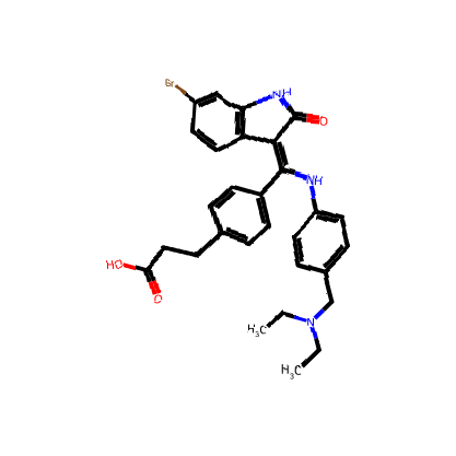 CCN(CC)Cc1ccc(N/C(=C2\C(=O)Nc3cc(Br)ccc32)c2ccc(CCC(=O)O)cc2)cc1